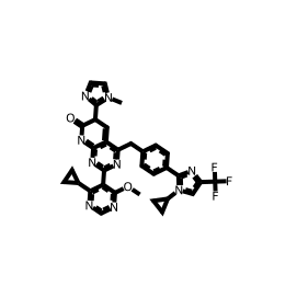 COc1ncnc(C2CC2)c1-c1nc(Cc2ccc(-c3nc(C(F)(F)F)cn3C3CC3)cc2)c2c(n1)=NC(=O)C(c1nccn1C)C=2